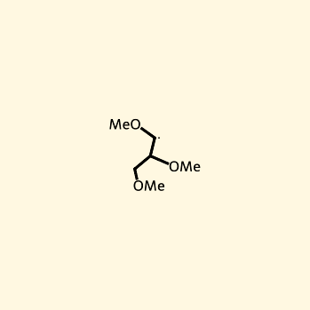 CO[CH]C(COC)OC